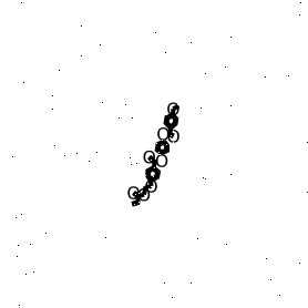 C=CC(=O)OCOc1ccc(C(=O)Oc2ccc(OC(=O)c3ccc(OC)cc3)cc2)cc1